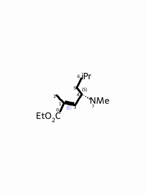 CCOC(=O)/C(C)=C/[C@H](CC(C)C)NC